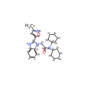 Cc1cc(-c2nc3ccccc3n2CC(=O)N(C2CCCCC2)C2CCCCC2)on1